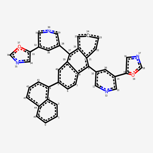 c1ccc2c(-c3ccc4c(-c5cncc(-c6cnco6)c5)c5ccccc5c(-c5cncc(-c6cnco6)c5)c4c3)cccc2c1